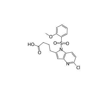 COc1ccccc1S(=O)(=O)n1c(CCCC(=O)O)cc2nc(Cl)ccc21